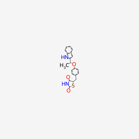 CC(Oc1ccc(CC2SC(=O)NC2=O)cc1)c1cc2ccccc2[nH]1